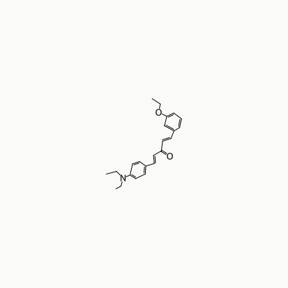 CCOc1cccc(C=CC(=O)C=Cc2ccc(N(CC)CC)cc2)c1